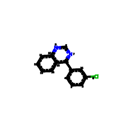 Clc1cccc(-c2n[c]nc3ccccc23)c1